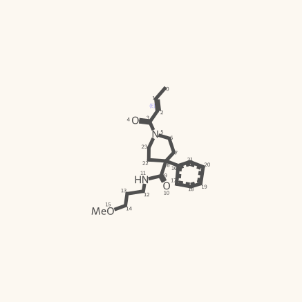 C/C=C/C(=O)N1CCC(C(=O)NCCCOC)(c2ccccc2)CC1